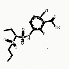 CCCS(=O)(=O)C(CC)S(=O)(=O)Nc1ccc(Cl)c(C(=O)O)c1F